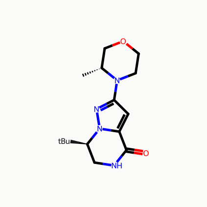 C[C@@H]1COCCN1c1cc2n(n1)[C@H](C(C)(C)C)CNC2=O